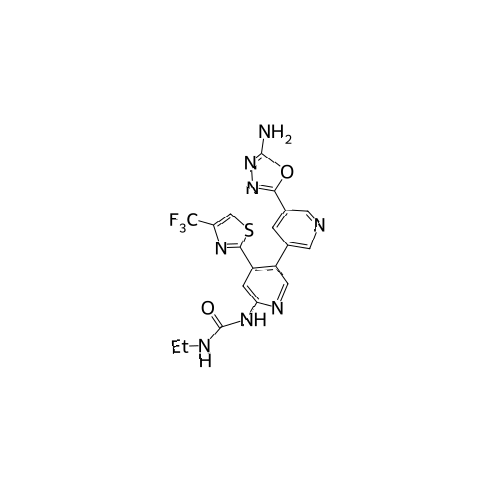 CCNC(=O)Nc1cc(-c2nc(C(F)(F)F)cs2)c(-c2cncc(-c3nnc(N)o3)c2)cn1